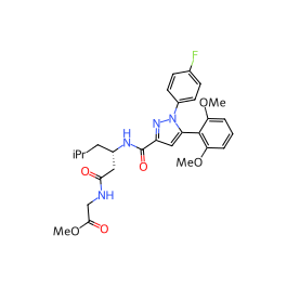 COC(=O)CNC(=O)C[C@H](CC(C)C)NC(=O)c1cc(-c2c(OC)cccc2OC)n(-c2ccc(F)cc2)n1